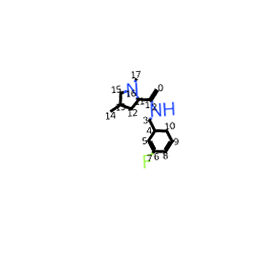 C=C(NCC1C=C(F)C=CC1)C1CC(C)CN1C